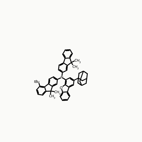 CC(C)(C)c1cccc2c1-c1ccc(N(c3ccc4c(c3)C(C)(C)c3ccccc3-4)c3cc(C45CC6CC(CC(C6)C4)C5)cc4c3oc3ccccc34)cc1C2(C)C